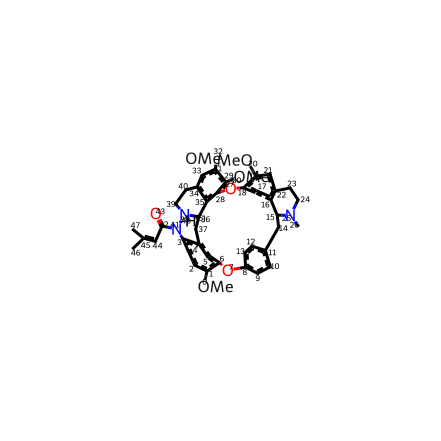 COc1cc2c3cc1Oc1ccc(cc1)CC1c4cc(c(OC)cc4CCN1C)Oc1c(OC)c(OC)cc4c1[C@H](C3)N(CC4)N2C(=O)C=C(C)C